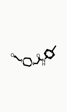 Cc1ccc(NC(=O)CN2CCN(C[C]=O)CC2)cc1